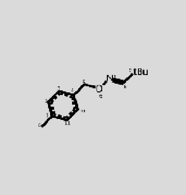 Cc1ccc(CON=CC(C)(C)C)cc1